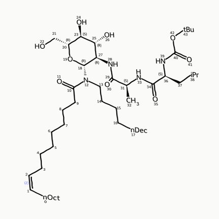 CCCCCCCC/C=C\CCCCCCCC(=O)N(CCCCCCCCCCCCCC)[C@@H]1O[C@H](CO)[C@@H](O)[C@H](O)[C@H]1NC(=O)[C@H](C)NC(=O)[C@H](CC(C)C)NC(=O)OC(C)(C)C